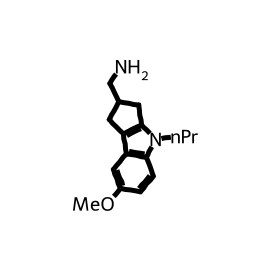 CCCn1c2c(c3cc(OC)ccc31)CC(CN)C2